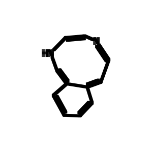 c1ccc2c[nH]ccnccc2c1